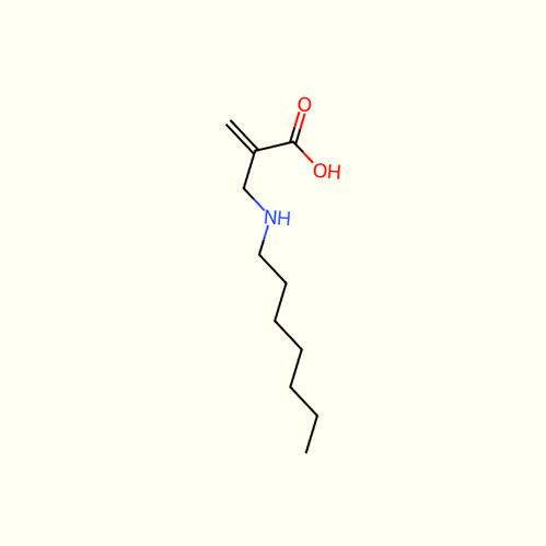 C=C(CNCCCCCCC)C(=O)O